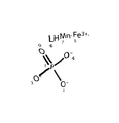 O=P([O-])([O-])[O-].[Fe+3].[LiH].[Mn]